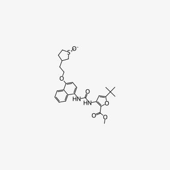 COC(=O)c1oc(C(C)(C)C)cc1NC(=O)Nc1ccc(OCCC2CC[S+]([O-])C2)c2ccccc12